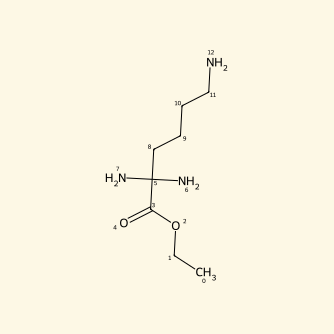 CCOC(=O)C(N)(N)CCCCN